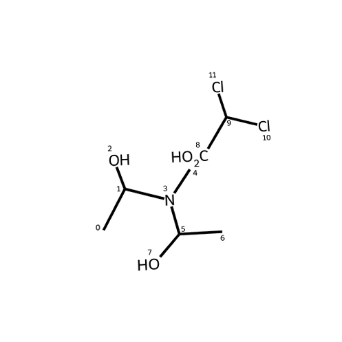 CC(O)N(C)C(C)O.O=C(O)C(Cl)Cl